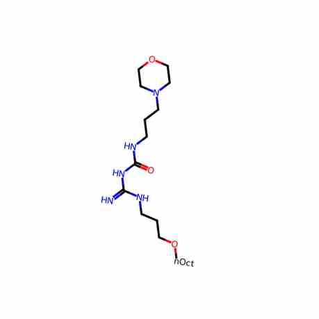 CCCCCCCCOCCCNC(=N)NC(=O)NCCCN1CCOCC1